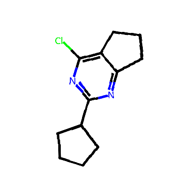 Clc1nc(C2CCCC2)nc2c1CCC2